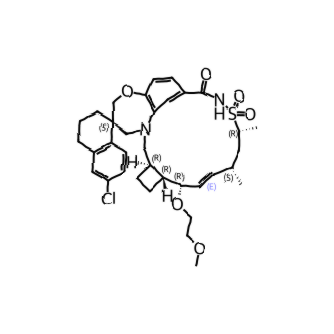 COCCO[C@H]1/C=C/[C@@H](C)C[C@@H](C)S(=O)(=O)NC(=O)c2ccc3c(c2)N(C[C@@H]2CC[C@H]21)C[C@@]1(CCCc2cc(Cl)ccc21)CO3